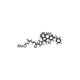 COCCN(C)C/C=C/C(=O)N1CCC(n2c(C#N)c(-c3ccc(Oc4ccccc4)cc3)c3c(N)ncnc32)C1